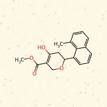 COC(=O)C1=C(O)CC(c2cccc3cccc(C)c23)OC1